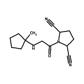 CC1(NCC(=O)N2C(C#N)CCC2C#N)CCCC1